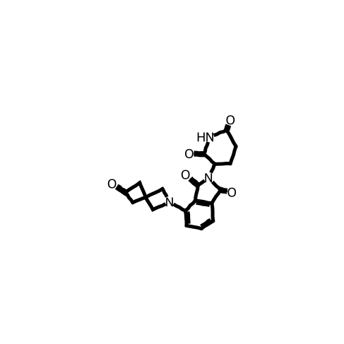 O=C1CC2(C1)CN(c1cccc3c1C(=O)N(C1CCC(=O)NC1=O)C3=O)C2